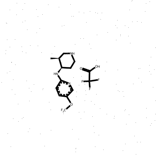 C[C@H]1CNCC[C@H]1Nc1ccc(OC(F)(F)F)cn1.O=C(O)C(F)(F)F